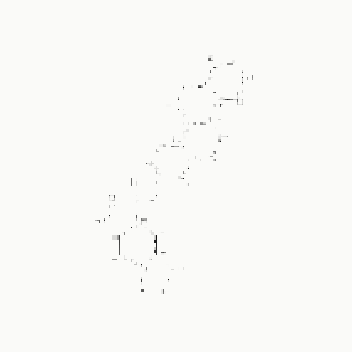 [Li][C]1(Cc2ccc3c(ccc4c5ccccc5ccc34)c2)C=Cc2cc3c(cc21)CCC3